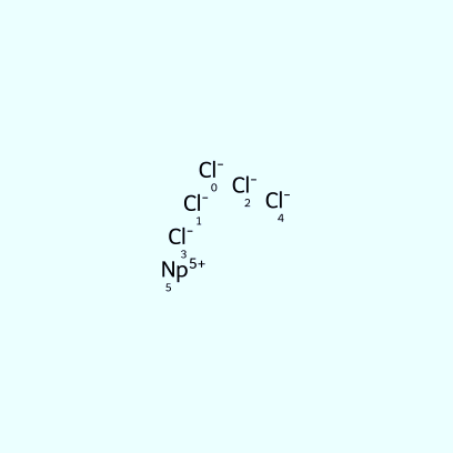 [Cl-].[Cl-].[Cl-].[Cl-].[Cl-].[Np+5]